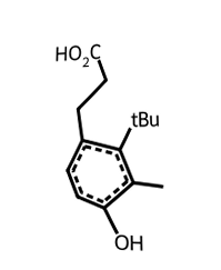 Cc1c(O)ccc(CCC(=O)O)c1C(C)(C)C